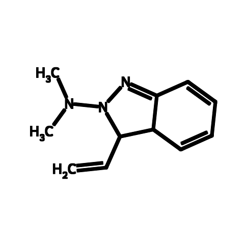 C=CC1C2C=CC=CC2=NN1N(C)C